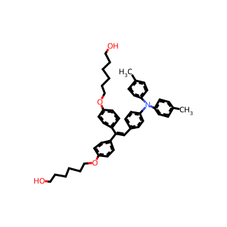 Cc1ccc(N(c2ccc(C)cc2)c2ccc(C=C(c3ccc(OCCCCCCO)cc3)c3ccc(OCCCCCCO)cc3)cc2)cc1